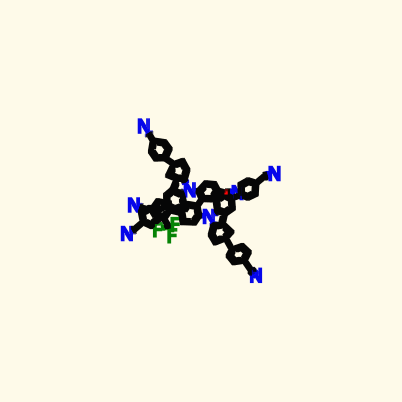 N#Cc1ccc(-c2ccc3c(c2)c2cc(-c4ccc(C#N)cc4)ccc2n3-c2ccc(C#N)cc2-c2cc(-c3ccc(C#N)cc3C(F)(F)F)ccc2-n2c3ccc(-c4ccc(C#N)cc4)cc3c3cc(-c4ccc(C#N)cc4)ccc32)cc1